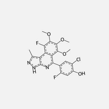 COc1c(OC)c(F)c2c(c(-c3cc(Cl)c(O)cc3F)nc3[nH]nc(C)c32)c1OC